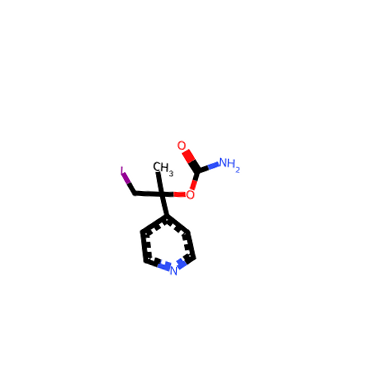 CC(CI)(OC(N)=O)c1ccncc1